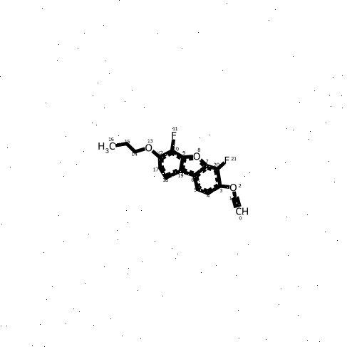 C#COc1ccc2c(oc3c(F)c(OCCC)ccc32)c1F